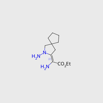 CCOC(=O)/C(N)=C1\CC2(CCCC2)CN1N